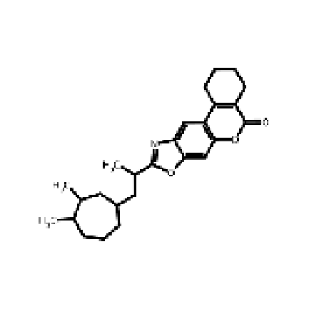 CC(CC1CCCC(C)C(C)C1)c1nc2cc3c4c(c(=O)oc3cc2o1)CCCC4